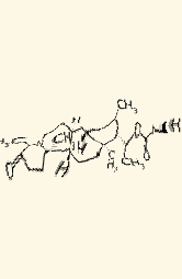 CC1C[C@H]2[C@@H]3CCN4C(C)C(=O)CC[C@]4(C)[C@H]3CC[C@]2(C)[C@H]1C(C)OC(N)=O